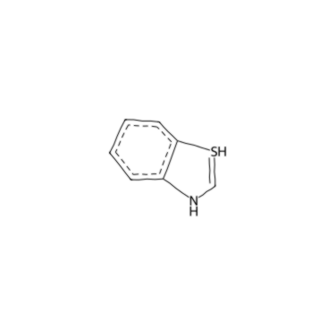 C1=[SH]c2ccccc2N1